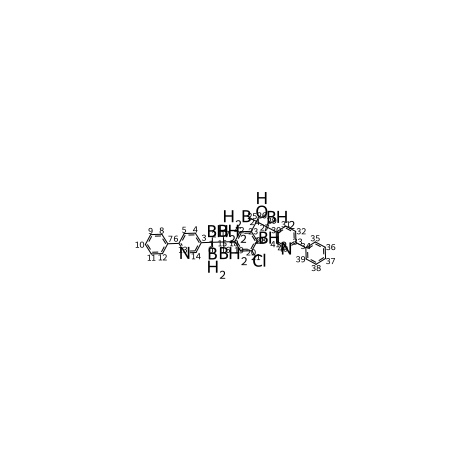 BC(B)(c1ccc(-c2ccccc2)nc1)C(B)(B)c1cc(Cl)cc(C(B)(O)C(B)(B)c2ccc(-c3ccccc3)nc2)c1